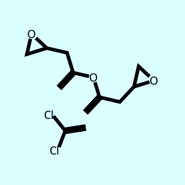 C=C(CC1CO1)OC(=C)CC1CO1.C=C(Cl)Cl